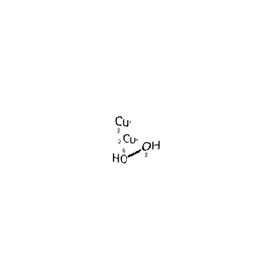 OO.[Cu].[Cu]